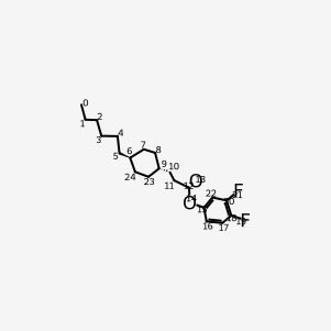 CCCCCC[C@H]1CC[C@H](CCC(=O)Oc2ccc(F)c(F)c2)CC1